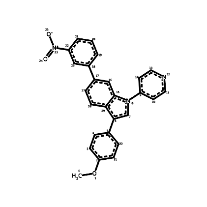 COc1ccc(-c2cn(-c3ccncc3)c3cc(-c4cccc([N+](=O)[O-])c4)ccc23)cc1